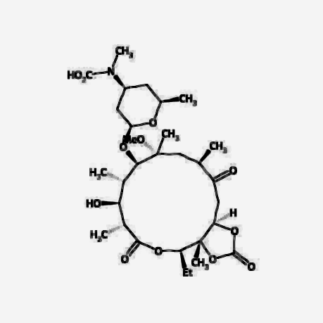 CC[C@H]1OC(=O)[C@H](C)[C@@H](O)[C@H](C)[C@@H](O[C@H]2C[C@@H](N(C)C(=O)O)C[C@@H](C)O2)[C@](C)(OC)C[C@@H](C)C(=O)C[C@H]2OC(=O)O[C@@]21C